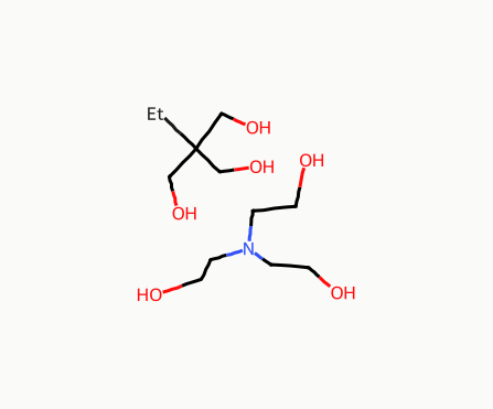 CCC(CO)(CO)CO.OCCN(CCO)CCO